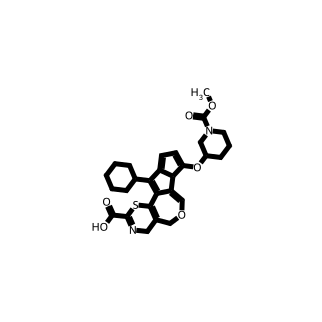 COC(=O)N1CCCC(OC2=CC=C3C(C4CCCCC4)=C4C(=COCC5=C4SC(C(=O)O)=NC5)C23)C1